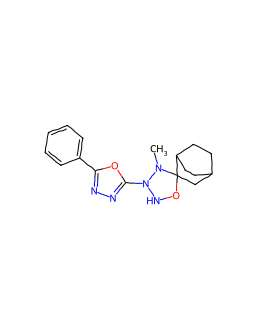 CN1N(c2nnc(-c3ccccc3)o2)NOC12CC1CCC2CC1